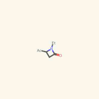 CCN1C(=O)CC1C(C)=O